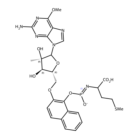 COc1nc(N)nc2c1ncn2C1O[C@H](COc2ccc3ccccc3c2O/[P+]([O-])=N/C(CCSC)C(=O)O)[C@@H](O)[C@@]1(C)O